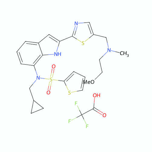 COCCN(C)Cc1cnc(-c2cc3cccc(N(CC4CC4)S(=O)(=O)c4cccs4)c3[nH]2)s1.O=C(O)C(F)(F)F